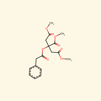 COC(=O)CC(CC(=O)OC)(OC(=O)Cc1ccccc1)C(=O)OC